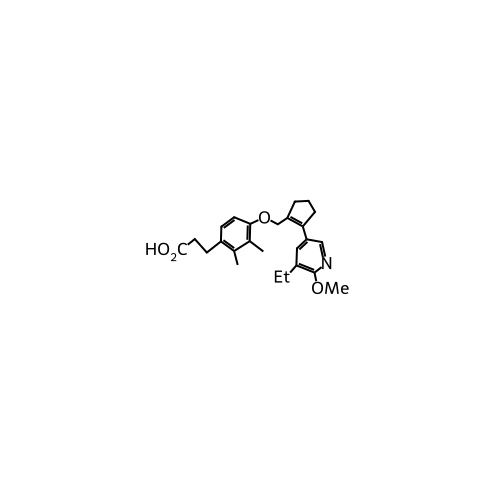 CCc1cc(C2=C(COc3ccc(CCC(=O)O)c(C)c3C)CCC2)cnc1OC